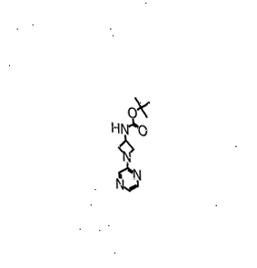 CC(C)(C)OC(=O)NC1CN(c2cnccn2)C1